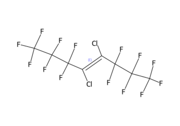 FC(F)(F)C(F)(F)C(F)(F)/C(Cl)=C(\Cl)C(F)(F)C(F)(F)C(F)(F)F